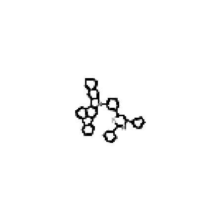 c1ccc(-c2cc(-c3cccc(-n4c5cc6ccccc6cc5c5c6cccc7c6c(cc54)-c4ccccc4-7)c3)nc(-c3ccccc3)n2)cc1